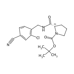 CC(C)(C)OC(=O)N1CCC[C@H]1C(=O)NCc1ccc(C#N)cc1Cl